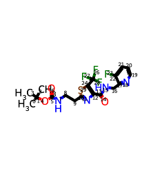 CC(C)(C)OC(=O)NCCc1nc(C(=O)NCc2ncccc2F)c(C(F)(F)F)s1